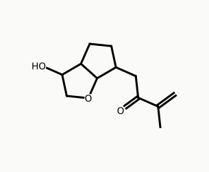 C=C(C)C(=O)CC1CCC2C(O)COC12